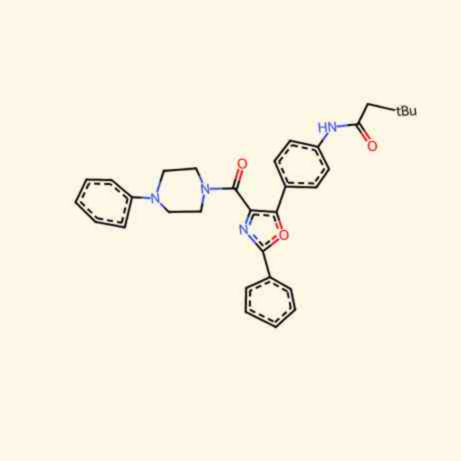 CC(C)(C)CC(=O)Nc1ccc(-c2oc(-c3ccccc3)nc2C(=O)N2CCN(c3ccccc3)CC2)cc1